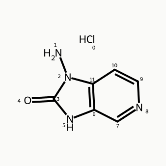 Cl.Nn1c(=O)[nH]c2cnccc21